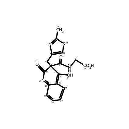 Cc1nc(CC2(C(=O)NCC(=O)O)C(=O)N=c3ccccc3=C2O)cs1